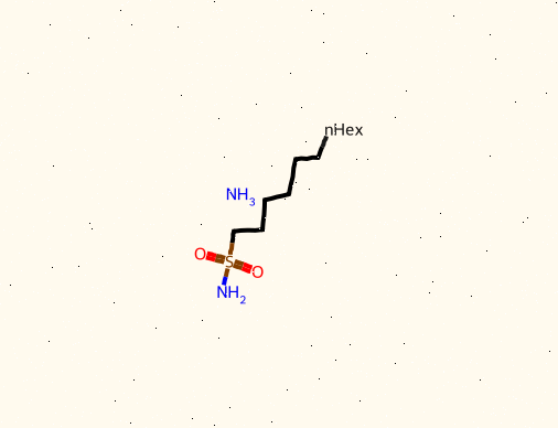 CCCCCCCCCCCCS(N)(=O)=O.N